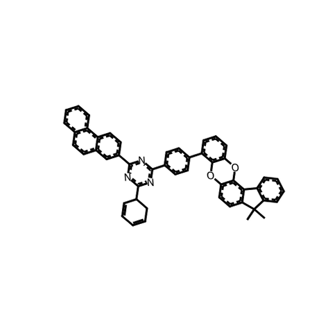 CC1(C)c2ccccc2-c2c1ccc1c2Oc2cccc(-c3ccc(-c4nc(-c5ccc6c(ccc7ccccc76)c5)nc(C5C=CC=CC5)n4)cc3)c2O1